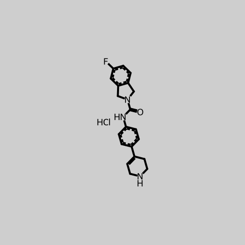 Cl.O=C(Nc1ccc(C2=CCNCC2)cc1)N1Cc2ccc(F)cc2C1